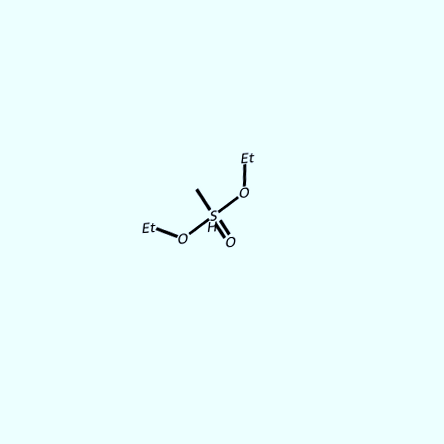 CCO[SH](C)(=O)OCC